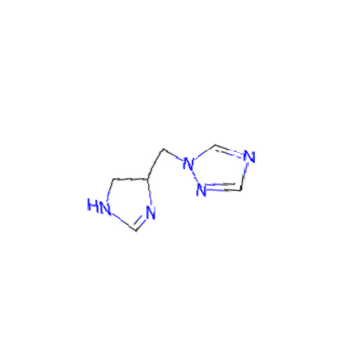 C1=NC(Cn2cncn2)CN1